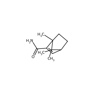 CC12CCC(C=C1C(N)=O)C2(C)C